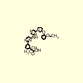 CCOc1ccccc1OC1CCCN(c2cncc(Nc3ccnc(-c4cccc(C(C)(C)C(=O)O)c4)n3)n2)C1